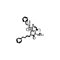 CCCC[C@H]1C(=O)N(CCCCc2ccccc2)C[C@H]2N1C(=O)CN(C)N2C(=O)NCc1ccccc1